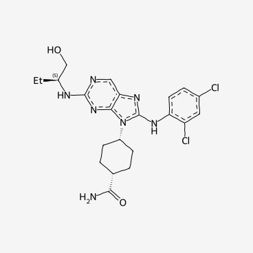 CC[C@@H](CO)Nc1ncc2nc(Nc3ccc(Cl)cc3Cl)n([C@H]3CC[C@@H](C(N)=O)CC3)c2n1